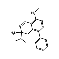 CNc1ncc(-c2ccccc2)c2c1C=NC(N)(C(C)C)C2